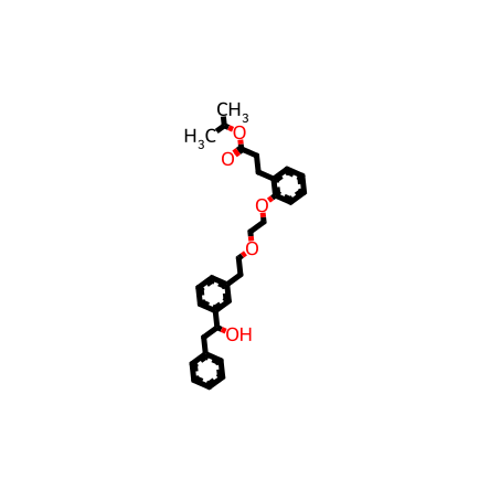 CC(C)OC(=O)CCc1ccccc1OCCOCCc1cccc(C(O)Cc2ccccc2)c1